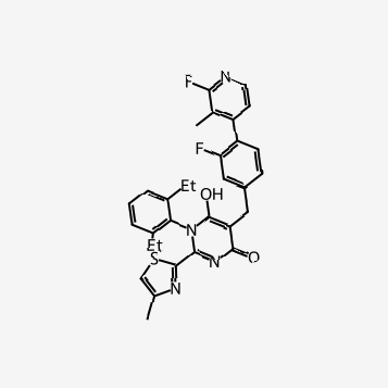 CCc1cccc(CC)c1-n1c(-c2nc(C)cs2)nc(=O)c(Cc2ccc(-c3ccnc(F)c3C)c(F)c2)c1O